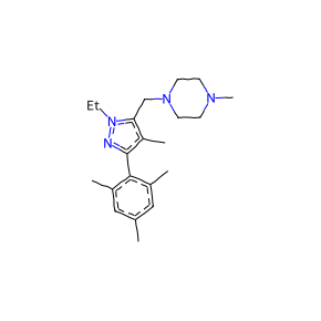 CCn1nc(-c2c(C)cc(C)cc2C)c(C)c1CN1CCN(C)CC1